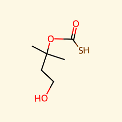 CC(C)(CCO)OC(=O)S